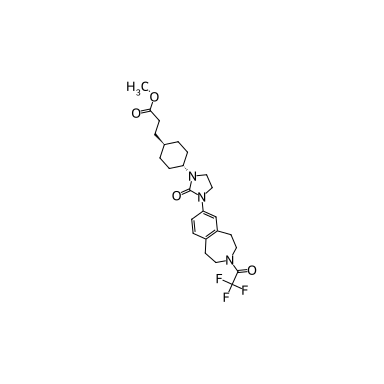 COC(=O)CC[C@H]1CC[C@H](N2CCN(c3ccc4c(c3)CCN(C(=O)C(F)(F)F)CC4)C2=O)CC1